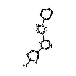 CCc1ccc(-c2cncc(-c3nnc(-c4ccccc4)o3)n2)cn1